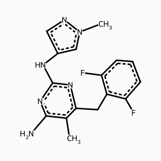 Cc1c(N)nc(Nc2cnn(C)c2)nc1Cc1c(F)cccc1F